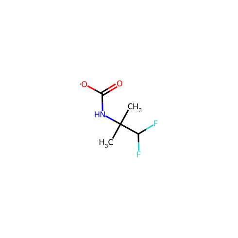 CC(C)(NC([O])=O)C(F)F